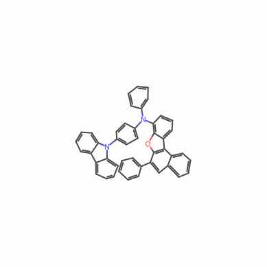 c1ccc(-c2cc3ccccc3c3c2oc2c(N(c4ccccc4)c4ccc(-n5c6ccccc6c6ccccc65)cc4)cccc23)cc1